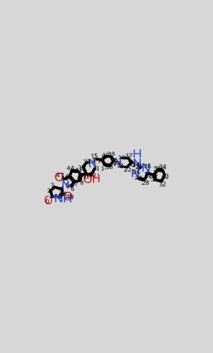 O=C1CCC(N2Cc3cc(C4(O)CCN(Cc5ccc(N6CCC(Nc7nccc(-c8ccccc8)n7)CC6)cc5)CC4)ccc3C2=O)C(=O)N1